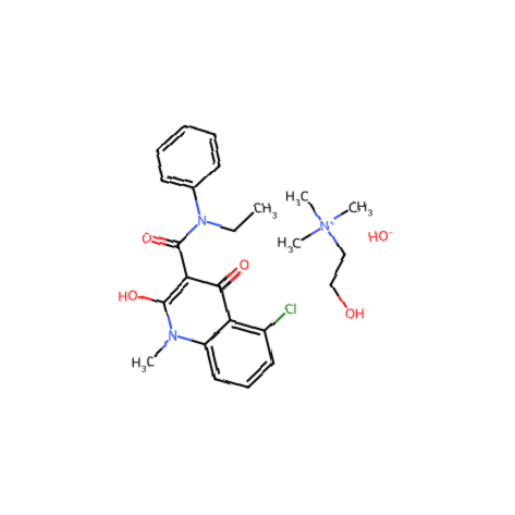 CCN(C(=O)c1c(O)n(C)c2cccc(Cl)c2c1=O)c1ccccc1.C[N+](C)(C)CCO.[OH-]